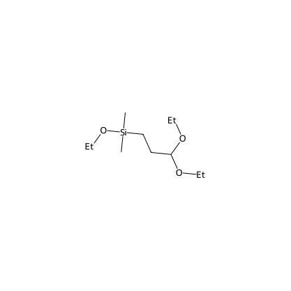 CCOC(CC[Si](C)(C)OCC)OCC